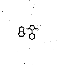 C1=Cc2ccccc2C1.O=C1C=CC(=O)N1C1CCCCC1